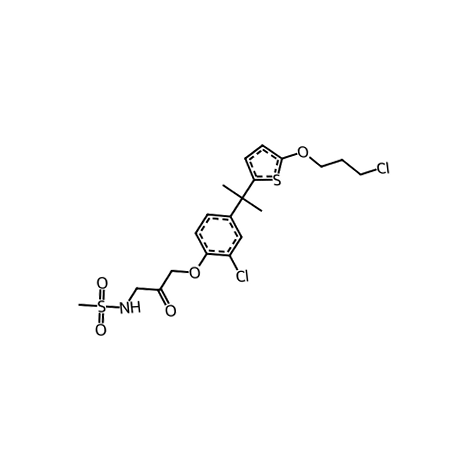 CC(C)(c1ccc(OCC(=O)CNS(C)(=O)=O)c(Cl)c1)c1ccc(OCCCCl)s1